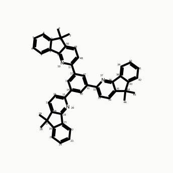 CC1(C)c2ccccc2-c2nc(-c3cc(-c4ccc5c(n4)-c4ccccc4C5(C)C)cc(-c4ccc5c(n4)-c4ccccc4C5(C)C)c3)ccc21